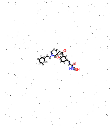 O=C(/C=C/c1ccc2c(c1)C(=O)CC1(CCCN(CCc3ccccc3)C1)O2)NO